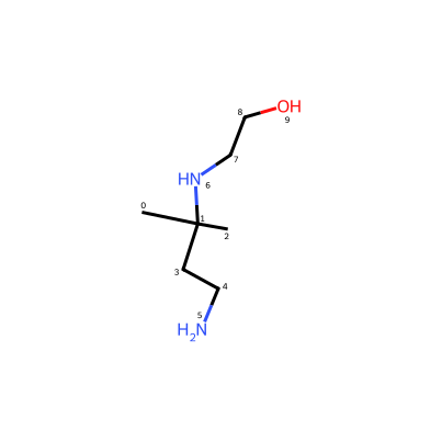 CC(C)(CCN)NCCO